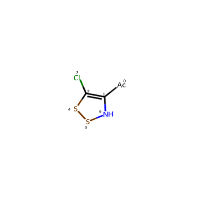 CC(=O)C1=C(Cl)SSN1